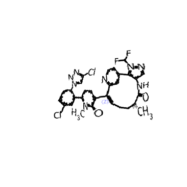 C[C@@H]1CC/C=C(/c2ccc(-c3cc(Cl)ccc3-n3cc(Cl)nn3)n(C)c2=O)c2cc(ccn2)-c2c(cnn2C(F)F)NC1=O